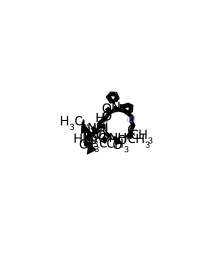 CC[C@@H]1C[C@]1(NC(=O)[C@@H]1C[C@@H]2CN1C(=O)[C@H](C(C)(C)C)NC(=O)OCC(C)(C)CC/C=C/c1cccc3c1cc(n3-c1ccccc1)C(=O)O2)C(=O)NS(=O)(=O)C1CC1